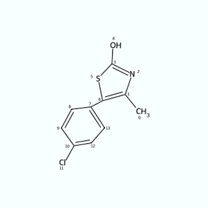 Cc1nc(O)sc1-c1ccc(Cl)cc1